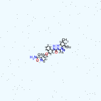 COC(C(N)=O)c1cc(COc2ccc(NC(=O)Nc3ccnn3-c3ccc(C)cc3C(C)(C)C)c3ccccc23)ccn1